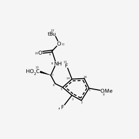 COc1cc(F)c(C[C@H](NC(=O)OC(C)(C)C)C(=O)O)c(F)c1